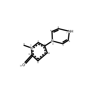 Cn1cc(N2C=CNC=C2)ccc1=O